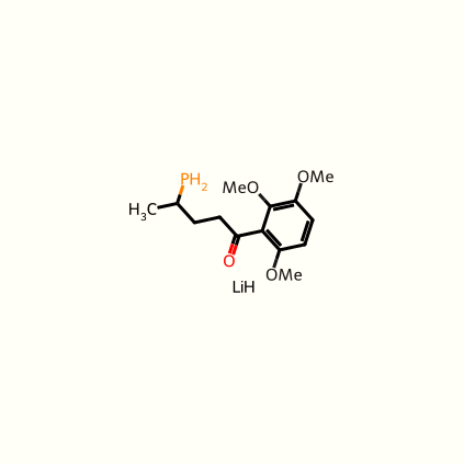 COc1ccc(OC)c(C(=O)CCC(C)P)c1OC.[LiH]